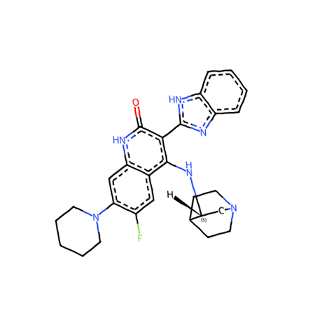 O=c1[nH]c2cc(N3CCCCC3)c(F)cc2c(N[C@@H]2CN3CCC2CC3)c1-c1nc2ccccc2[nH]1